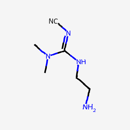 CN(C)C(=NC#N)NCCN